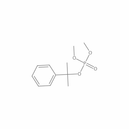 COP(=O)(OC)OC(C)(C)c1ccccc1